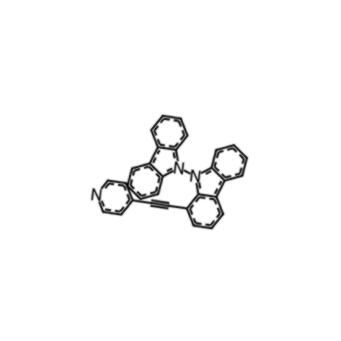 C(#Cc1cccc2c3ccccc3n(-n3c4ccccc4c4ccccc43)c12)c1ccncc1